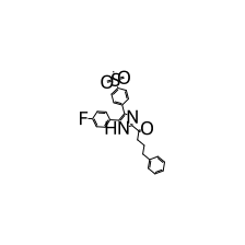 CS(=O)(=O)c1ccc(-c2nc(C(=O)CCCc3ccccc3)[nH]c2-c2ccc(F)cc2)cc1